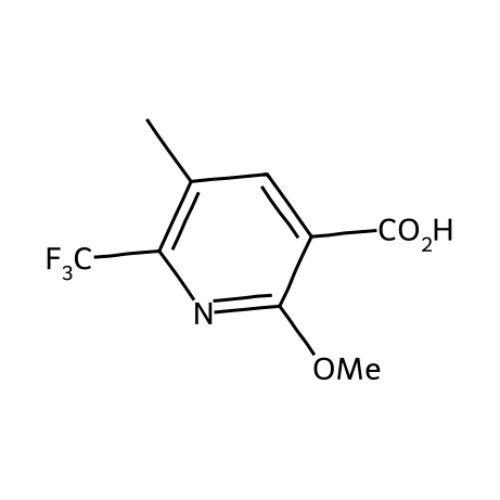 COc1nc(C(F)(F)F)c(C)cc1C(=O)O